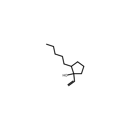 C=CC1(O)CCCC1CCCCC